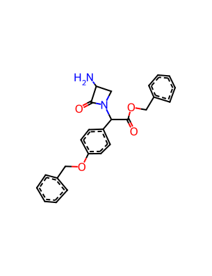 NC1CN(C(C(=O)OCc2ccccc2)c2ccc(OCc3ccccc3)cc2)C1=O